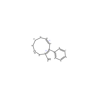 S/C1=C(c2ccccc2)/C=C\CCCOC1